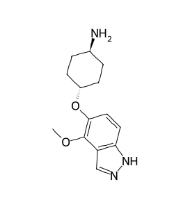 COc1c(O[C@H]2CC[C@H](N)CC2)ccc2[nH]ncc12